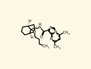 CCCCO[C@@H]1[C@@H]2CCC[C@H]1C[C@@H](NC(=O)c1ncn3c(C)cc(C)nc13)C2